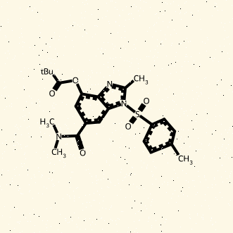 Cc1ccc(S(=O)(=O)n2c(C)nc3c(OC(=O)C(C)(C)C)cc(C(=O)N(C)C)cc32)cc1